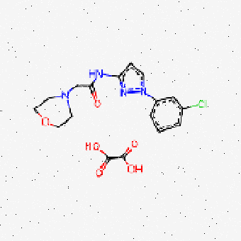 O=C(CN1CCOCC1)Nc1ccn(-c2cccc(Cl)c2)n1.O=C(O)C(=O)O